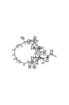 CNC(=O)CC[C@H]1NC(=O)C[C@H]2/C=C/CCSSC[C@@H](NC1=O)C(=O)N[C@H](C(C)C)C(=O)NCC(=O)O2